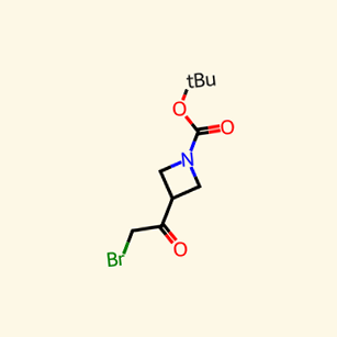 CC(C)(C)OC(=O)N1CC(C(=O)CBr)C1